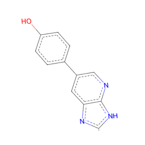 Oc1ccc(-c2cnc3[nH][c]nc3c2)cc1